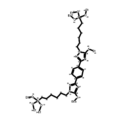 CCO[Si](CCCCCCn1nc(-c2ccc(-c3nc(SCC)n(CCCCCC[Si](OCC)(OCC)OCC)n3)cc2)nc1SCC)(OCC)OCC